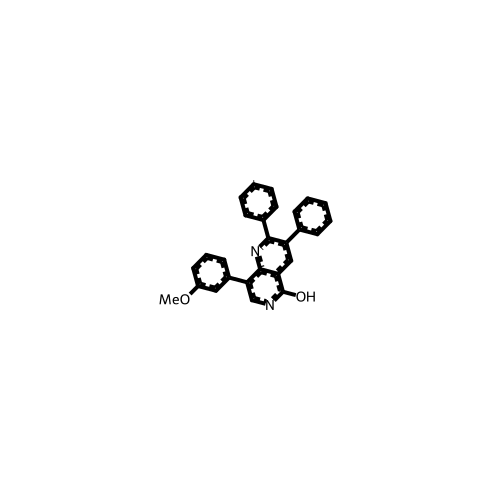 COc1cccc(-c2cnc(O)c3cc(-c4ccccc4)c(-c4cc[c]cc4)nc23)c1